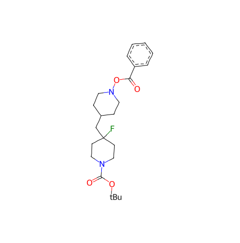 CC(C)(C)OC(=O)N1CCC(F)(CC2CCN(OC(=O)c3ccccc3)CC2)CC1